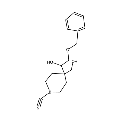 N#CB1CCC(CO)(C(O)COCc2ccccc2)CC1